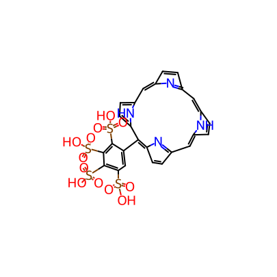 O=S(=O)(O)c1cc(-c2c3nc(cc4ccc(cc5nc(cc6ccc2[nH]6)C=C5)[nH]4)C=C3)c(S(=O)(=O)O)c(S(=O)(=O)O)c1S(=O)(=O)O